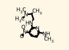 CNc1ccc([N+](=O)[O-])c(NCC(C)N(C)C)n1